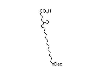 CCCCCCCCCCCCCCCCCCCCCCOC(=O)CCCC(=O)O